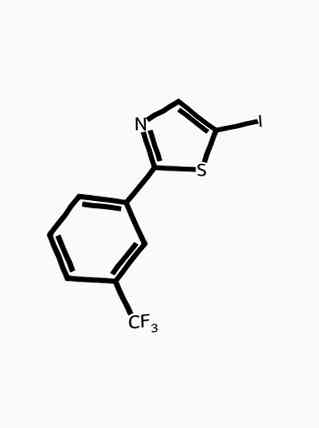 FC(F)(F)c1cccc(-c2ncc(I)s2)c1